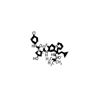 CC(C)(C)[S@+]([O-])NC(CCC1CC1)(c1ccc(F)c(NC(=O)[C@H]2C[C@@H](O)CN2C(=O)Nc2ccc(Cl)cc2)c1)c1ccccn1